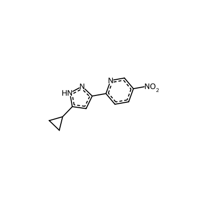 O=[N+]([O-])c1ccc(-c2cc(C3CC3)[nH]n2)nc1